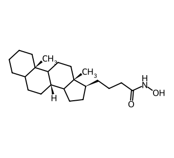 C[C@]12CCCCC1CC[C@@H]1C2CC[C@@]2(C)C1CC[C@@H]2CCCC(=O)NO